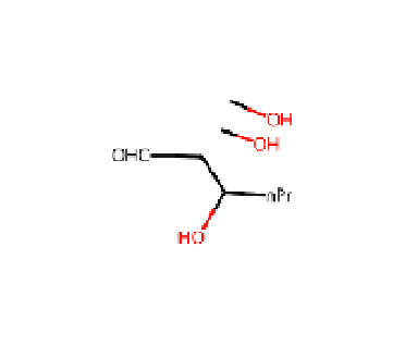 CCCC(O)CC=O.CO.CO